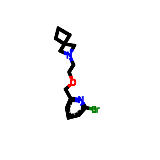 Brc1cccc(COCCN2CC3(CCC3)C2)n1